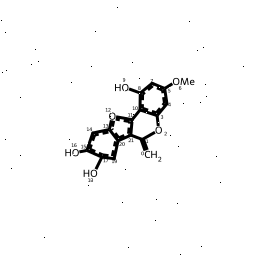 C=C1Oc2cc(OC)cc(O)c2-c2oc3cc(O)c(O)cc3c21